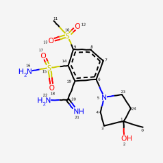 CC1(O)CCN(c2ccc(S(C)(=O)=O)c(S(N)(=O)=O)c2C(=N)N)CC1